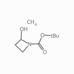 C.CC(C)(C)OC(=O)N1CCC1O